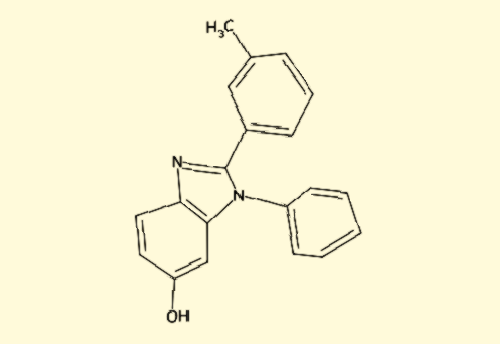 Cc1cccc(-c2nc3ccc(O)cc3n2-c2ccccc2)c1